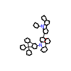 c1ccc(-c2ccccc2N(c2ccc(-c3ccc4c5ccc6ccccc6c5n(-c5ccccc5)c4c3)cc2)c2ccc3c(c2)-c2ccccc2C3(c2ccccc2)c2ccccc2)cc1